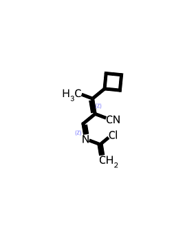 C=C(Cl)/N=C\C(C#N)=C(/C)C1CCC1